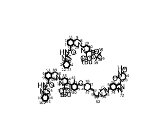 CC(C)(C)OC(=O)c1nc(N2CCc3cccc(C(=O)Nc4nc5ccccc5s4)c3C2)ccc1B1OC(C)(C)C(C)(C)O1.Cc1c(OC2CCC(CC[C@@H](C)N3CCN(c4ccc5c(C6CCC(=O)NC6=O)nn(C)c5c4)CC3)CC2)cccc1-c1ccc(N2CCc3cccc(C(=O)Nc4nc5ccccc5s4)c3C2)nc1C(=O)OC(C)(C)C